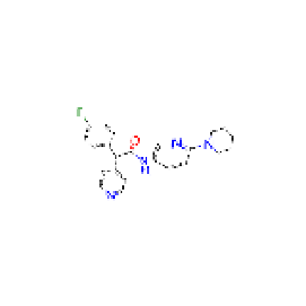 O=C(Nc1ccc(N2CCCCC2)nc1)C(c1ccncc1)c1ccc(F)cc1